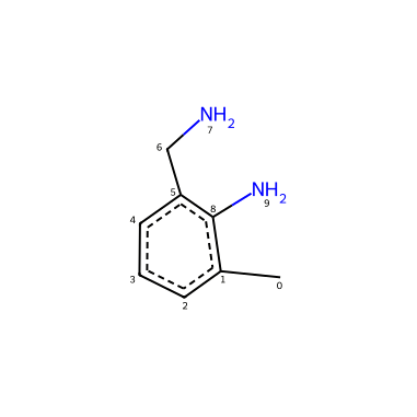 Cc1cccc(CN)c1N